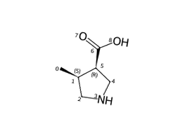 C[C@@H]1CNC[C@@H]1C(=O)O